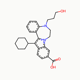 O=C(O)c1ccc2c(C3CCCCC3)c3n(c2c1)CCN(CCCO)c1ccccc1-3